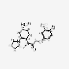 CN(C(=O)COc1ccc(Cl)c(Cl)c1)C1CCCCC1N1CCCC1.Cl